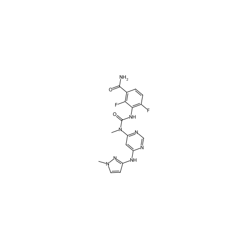 CN(C(=O)Nc1c(F)ccc(C(N)=O)c1F)c1cc(Nc2ccn(C)n2)ncn1